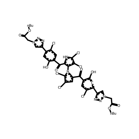 CCCCOC(=O)Cn1cc(-c2cc(O)c(C(=O)c3[nH]c(Cl)c(Cl)c3-n3c(C(=O)c4cc(Cl)c(-c5cn(CC(=O)OCCCC)nn5)cc4O)cc(Cl)c3Cl)cc2Cl)nn1